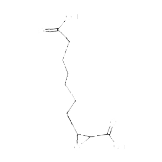 O=C(O)CCCCCCC1OC1C(=O)O